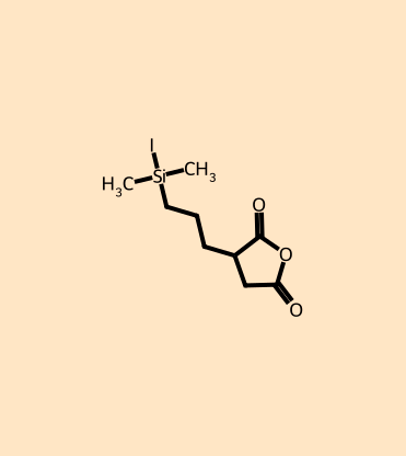 C[Si](C)(I)CCCC1CC(=O)OC1=O